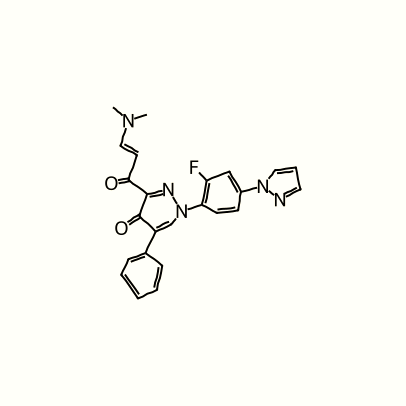 CN(C)/C=C/C(=O)c1nn(-c2ccc(-n3cccn3)cc2F)cc(-c2ccccc2)c1=O